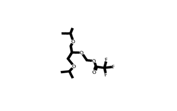 CC(C)OCC(COC(C)C)OCOC(=O)C(F)(F)F